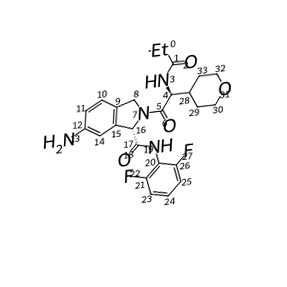 C[CH]C(=O)N[C@H](C(=O)N1Cc2ccc(N)cc2[C@H]1C(=O)Nc1c(F)cccc1F)C1CCOCC1